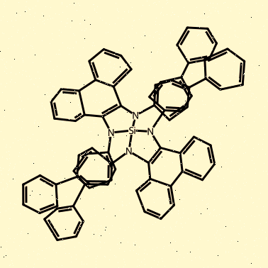 c1ccc(-c2ccc(N3c4c(c5ccccc5c5ccccc45)N(c4ccc(-c5ccccc5)cc4)[Si]34N(c3ccc(-c5ccccc5)cc3)c3c(c5ccccc5c5ccccc35)N4c3ccc(-c4ccccc4)cc3)cc2)cc1